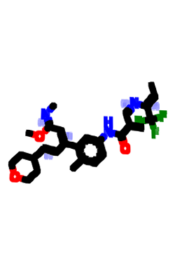 C=C(/C=N\C(=C/C)C(F)(F)F)C(=O)Nc1ccc(C)c(C(/C=C/C2CCOCC2)=C/C(=N\C)OC)c1